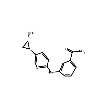 NC(=O)c1cccc(Nc2ccc([C@H]3C[C@@H]3N)cn2)c1